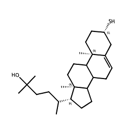 CC(CCC(C)(C)O)[C@H]1CCC2C3CC=C4C[C@@H](S)CC[C@]4(C)C3CC[C@@]21C